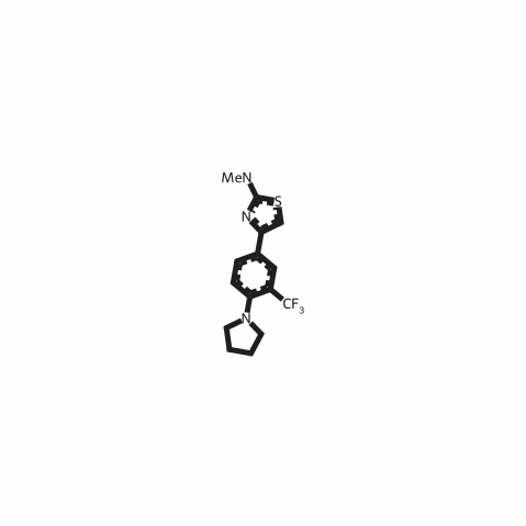 CNc1nc(-c2ccc(N3CCCC3)c(C(F)(F)F)c2)cs1